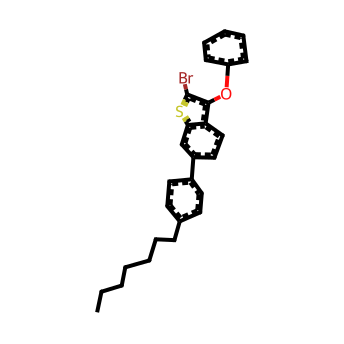 CCCCCCCc1ccc(-c2ccc3c(Oc4ccccc4)c(Br)sc3c2)cc1